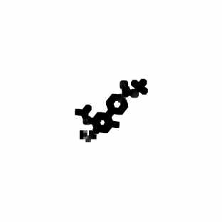 Cc1cc(N)c(OC(C)C)cc1C1CCN(C(=O)OC(C)(C)C)CC1